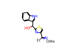 CC/C(=N\OC)c1csc(C(O)c2c[nH]c3ccccc23)n1